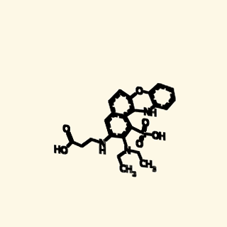 CCN(CC)c1c(NCCC(=O)O)cc2ccc3c(c2c1S(=O)(=O)O)Nc1ccccc1O3